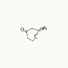 CCC[C]1CCCC(=O)C1